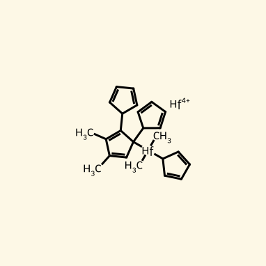 CC1=C[C](C2C=CC=C2)([Hf]([CH3])([CH3])[CH]2C=CC=C2)C(C2C=CC=C2)=C1C.[Hf+4]